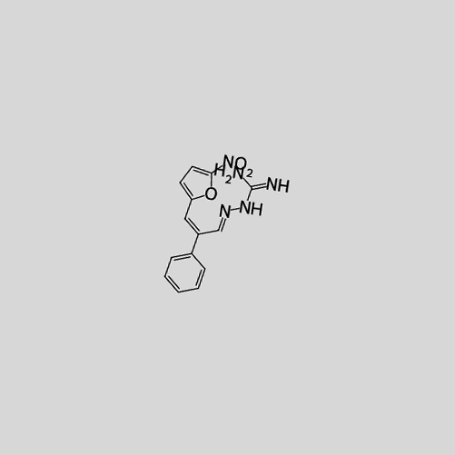 N=C(N)NN=CC(=Cc1ccc([N+](=O)[O-])o1)c1ccccc1